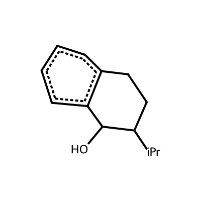 CC(C)C1CCc2ccccc2C1O